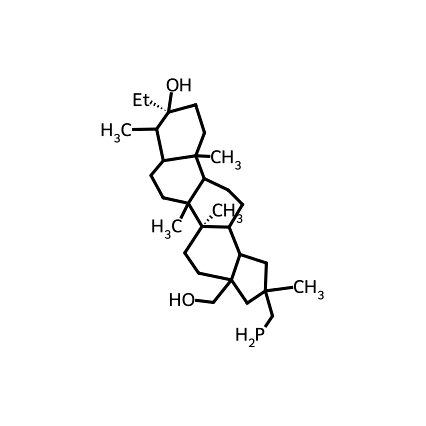 CC[C@]1(O)CCC2(C)C(CCC3(C)C2CCC2C4CC(C)(CP)CC4(CO)CC[C@]23C)C1C